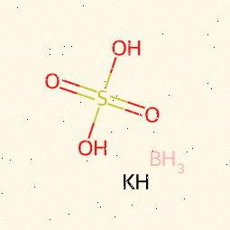 B.O=S(=O)(O)O.[KH]